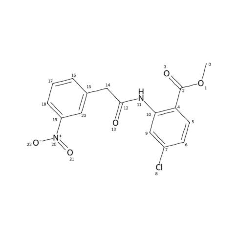 COC(=O)c1ccc(Cl)cc1NC(=O)Cc1cccc([N+](=O)[O-])c1